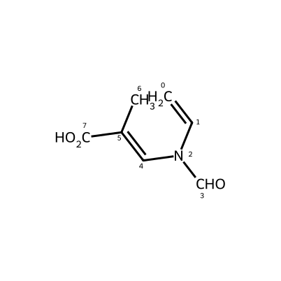 C=CN(C=O)C=C(C)C(=O)O